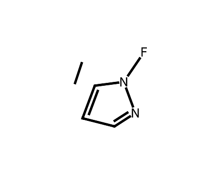 CC.Fn1cccn1